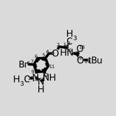 C[C@H](COCc1cc(Br)c2c(c1)NNN2C)NC(=O)OC(C)(C)C